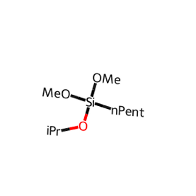 CCCCC[Si](OC)(OC)OC(C)C